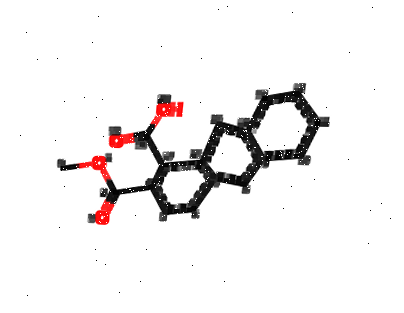 COC(=O)c1ccc2cc3ccccc3cc2c1C(=O)O